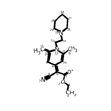 CCOC(=O)C(C#N)=C1C=C(C)N(CCN2CCCCC2)C(C)=C1